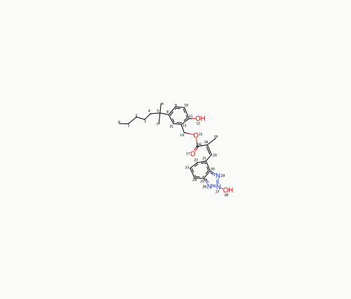 CCCCCC(C)(C)c1ccc(O)c(COC(=O)C(C)=Cc2cccc3nn(O)nc23)c1